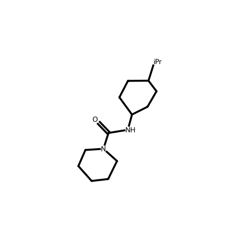 CC(C)C1CCC(NC(=O)N2CCCCC2)CC1